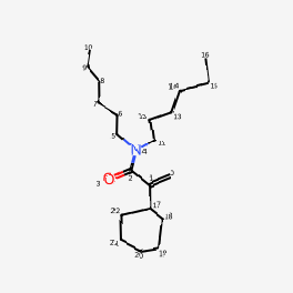 C=C(C(=O)N(CCCCCC)CCCCCC)C1CCCCC1